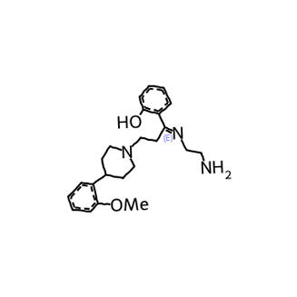 COc1ccccc1C1CCN(CC/C(=N\CCN)c2ccccc2O)CC1